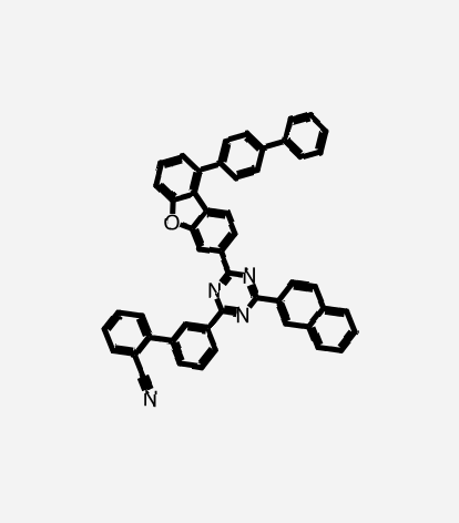 N#Cc1ccccc1-c1cccc(-c2nc(-c3ccc4ccccc4c3)nc(-c3ccc4c(c3)oc3cccc(-c5ccc(-c6ccccc6)cc5)c34)n2)c1